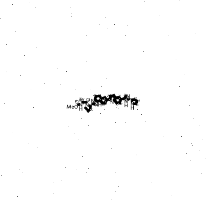 COC(=O)N[C@H](C(=O)N1CCC[C@H]1c1nc2c([nH]1)-c1ccc(-c3ccc4cc(-c5cnc([C@@H]6CCCN6)[nH]5)ccc4n3)cc1CC2)C(C)C